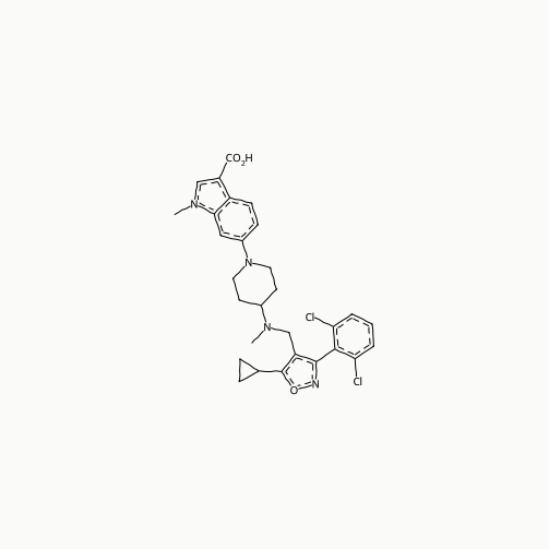 CN(Cc1c(-c2c(Cl)cccc2Cl)noc1C1CC1)C1CCN(c2ccc3c(C(=O)O)cn(C)c3c2)CC1